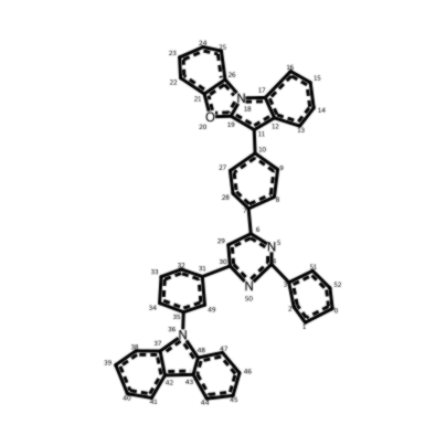 c1ccc(-c2nc(-c3ccc(-c4c5ccccc5n5c4oc4ccccc45)cc3)cc(-c3cccc(-n4c5ccccc5c5ccccc54)c3)n2)cc1